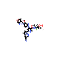 CC(C)(O)C(F)CNC(=O)c1cnc(-c2ccc3cc(C#N)cnn23)cc1NC1CCC(NC(=O)C2CCOCC2)CC1